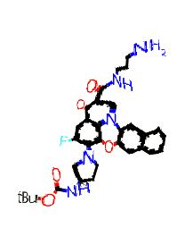 CC(C)(C)OC(=O)N[C@@H]1CCN(c2c(F)cc3c(=O)c(C(=O)NCCCN)cn4c3c2Oc2cc3ccccc3cc2-4)C1